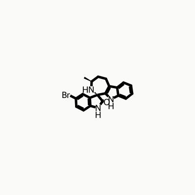 C[C@H]1CCc2c([nH]c3ccccc23)[C@@]2(N1)C(=O)Nc1ccc(Br)cc12